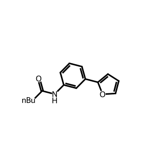 CCCCC(=O)Nc1cccc(-c2ccco2)c1